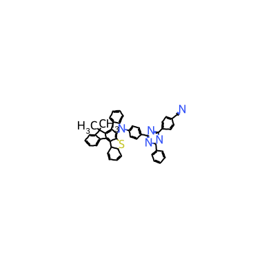 CC1(C)c2ccccc2-c2c3c(c4c(c21)c1ccccc1n4-c1ccc(-c2nc(-c4ccccc4)nc(-c4ccc(C#N)cc4)n2)cc1)SC1C=CC=CC31